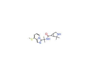 CSc1cccn2c(C(C)(C)NC(=O)C3C4CNC(C)(C)C43)ncc12